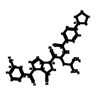 CC(C)CC(NC(=O)c1ccc(N2CCCC2)cc1)C(=O)N1CC(=O)C2C1C=CN2C(=O)c1ccc[n+]([O-])c1